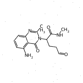 CNC(=O)C(CCC=O)n1c(C)nc2cccc(N)c2c1=O